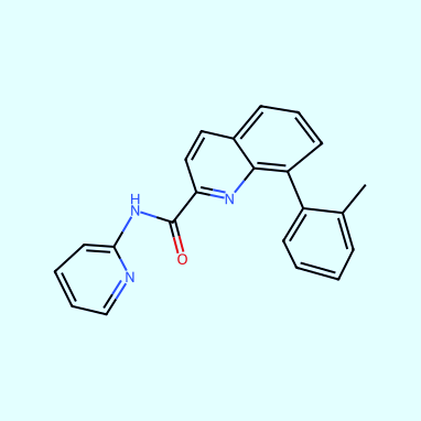 Cc1ccccc1-c1cccc2ccc(C(=O)Nc3ccccn3)nc12